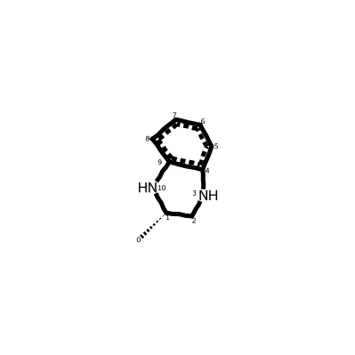 C[C@H]1CNc2ccccc2N1